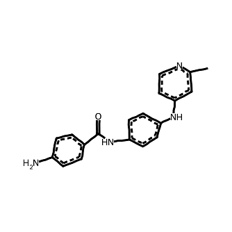 Cc1cc(Nc2ccc(NC(=O)c3ccc(N)cc3)cc2)ccn1